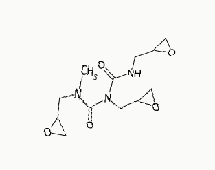 CN(CC1CO1)C(=O)N(CC1CO1)C(=O)NCC1CO1